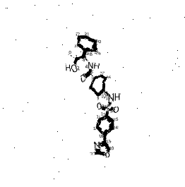 C[C@@H](O)[C@@H](NC(=O)[C@H]1CC[C@H](NS(=O)(=O)c2ccc(-c3cocn3)cc2)CC1)c1ccccc1